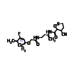 C=C(CCNC(=O)COC(=C)/C=C(/F)C(=C)Cl)NC(=O)C1OSCCC1C#N